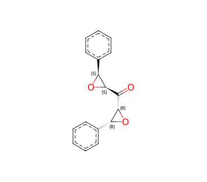 O=C([C@H]1O[C@H]1c1ccccc1)[C@@H]1O[C@@H]1c1ccccc1